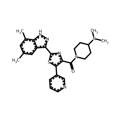 Cc1cc(C)c2[nH]nc(-c3nc(C(=O)N4CCC(N(C)C)CC4)c(-c4cccnc4)s3)c2c1